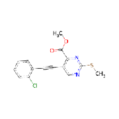 COC(=O)c1nc(SC)ncc1C#Cc1ccccc1Cl